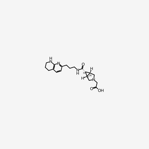 O=C(O)CN1C[C@@H]2[C@H](C1)[C@@H]2C(=O)NCCCc1ccc2c(n1)NCCC2